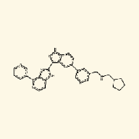 c1cncc(-c2nccc3[nH]c(-c4n[nH]c5ccc(-c6cncc(CNCC7CCCC7)c6)cc45)nc23)c1